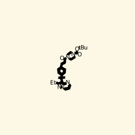 CCc1nn2cccnc2c1C(C)(C)c1ccc(C=CC(=O)N2CCN(C(=O)OC(C)(C)C)CC2)cc1